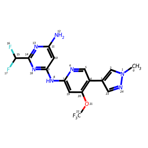 Cn1cc(-c2cnc(Nc3cc(N)nc(C(F)F)n3)cc2OC(F)(F)F)cn1